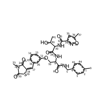 Cc1ccc(CNC(=O)C(COc2cccc(C=C3SC(=O)N(C)C3=O)c2)NC(=O)C(NC(=O)c2cc(C)on2)C(C)O)cc1